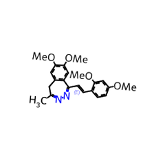 COc1ccc(/C=C/C2=NN=C(C)Cc3cc(OC)c(OC)cc32)c(OC)c1